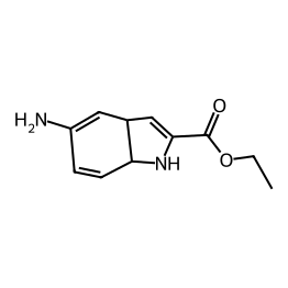 CCOC(=O)C1=CC2C=C(N)C=CC2N1